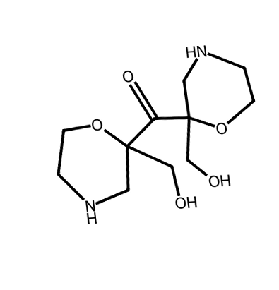 O=C(C1(CO)CNCCO1)C1(CO)CNCCO1